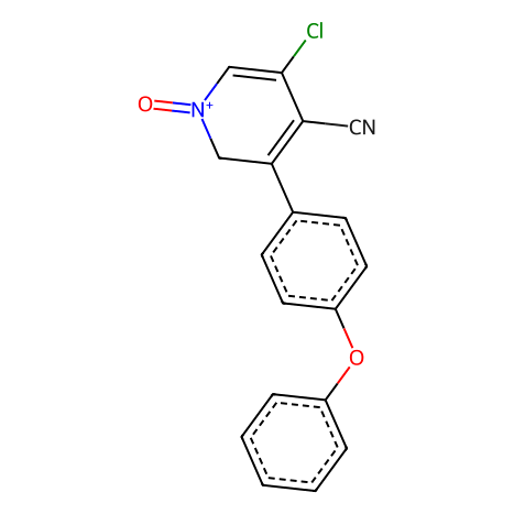 N#CC1=C(c2ccc(Oc3ccccc3)cc2)C[N+](=O)C=C1Cl